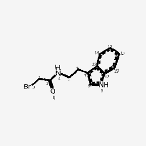 O=C(CBr)NCCc1c[nH]c2ccccc12